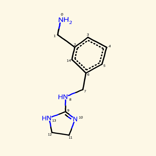 NCc1cccc(CNC2=NCCN2)c1